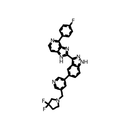 Fc1ccc(-c2nccc3[nH]c(-c4n[nH]c5ccc(-c6cncc(CN7CCC(F)(F)C7)c6)cc45)nc23)cc1